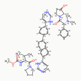 C/C=C(\NC(=N)[C@@H]1CCCN1C(=O)[C@@H](NC(=O)OC)C(C)C)c1ccc2cc(-c3ccc(/C(=C/C)NC(=N)[C@@H]4CC(=O)CN4C(=O)[C@@H](c4ccccc4)N(C)C)cc3)ccc2c1